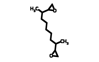 CC(CCCCCC(C)C1CO1)C1CO1